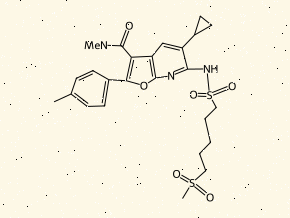 CNC(=O)c1c(-c2ccc(C)cc2)oc2nc(NS(=O)(=O)CCCCCS(C)(=O)=O)c(C3CC3)cc12